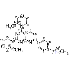 C/N=C/c1ccc(-c2ccc3c(N4CCOC[C@@H]4C)nc(N4CCOC[C@@H]4C)nc3n2)cc1